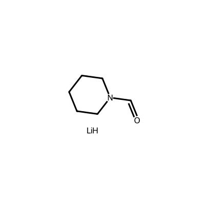 O=CN1CCCCC1.[LiH]